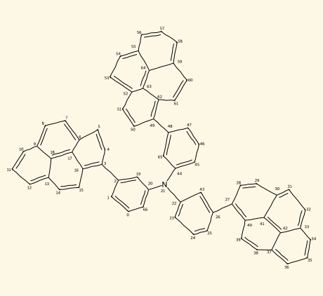 c1cc(-c2ccc3ccc4cccc5ccc2c3c45)cc(N(c2cccc(-c3ccc4ccc5cccc6ccc3c4c56)c2)c2cccc(-c3ccc4ccc5cccc6ccc3c4c56)c2)c1